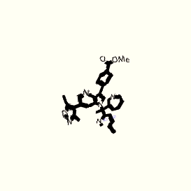 C=C/C=C\C(=N/C)C(C)(C1=CC=CC=NC1)n1cc(-c2ccc(C(=O)OC)cc2)c2ncc(-c3c(C)noc3C)cc21